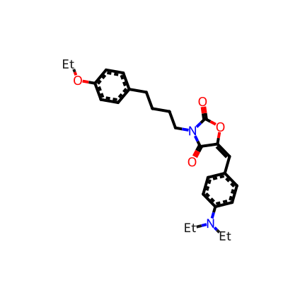 CCOc1ccc(CCCCN2C(=O)O/C(=C/c3ccc(N(CC)CC)cc3)C2=O)cc1